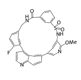 COc1ncc2cc1NS(=O)(=O)c1cccc(c1)C(=O)NCc1ccc(F)c(c1)-c1ccnc3ccc-2cc13